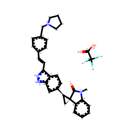 CN1C(=O)[C@@]2(C[C@H]2c2ccc3c(/C=C/c4ccc(CN5CCCC5)cc4)n[nH]c3c2)c2ccccc21.O=C(O)C(F)(F)F